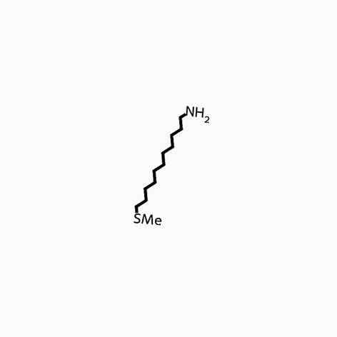 CSCCCCCCCCCCCN